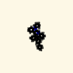 C1=CCC(N2C3C=CC=CC3C3CC([Si](c4ccccc4)(c4ccccc4)c4ccc(C5=CCCC=C5)cc4)N=CC32)C=C1